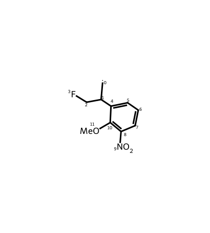 [CH2]C(CF)c1cccc([N+](=O)[O-])c1OC